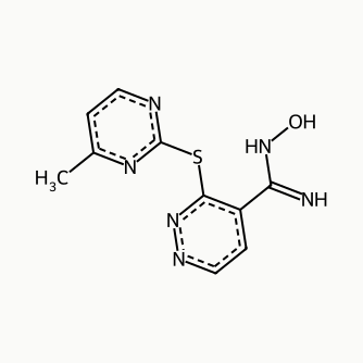 Cc1ccnc(Sc2nnccc2C(=N)NO)n1